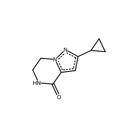 O=C1NCCn2nc(C3CC3)cc21